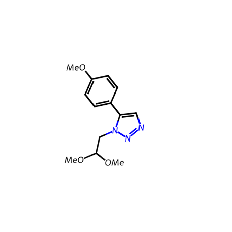 COc1ccc(-c2cnnn2CC(OC)OC)cc1